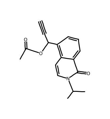 C#CC(OC(C)=O)c1cccc2c(=O)n(C(C)C)ccc12